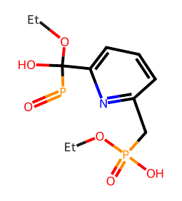 CCOC(O)(P=O)c1cccc(CP(=O)(O)OCC)n1